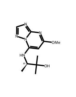 COc1cc(N[C@H](C)C(C)(C)O)n2ncnc2n1